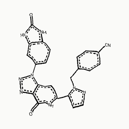 N#Cc1ccc(Cn2nccc2-c2cc3c(nnn3-c3ccc4[nH]c(=O)[nH]c4c3)c(=O)[nH]2)cc1